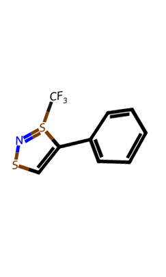 FC(F)(F)S1=NSC=C1c1ccccc1